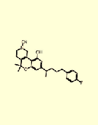 CC(CCCc1ccc(F)cc1)c1cc(O)c2c(c1)OC(C)(C)C1=C2CN(C#N)CC1